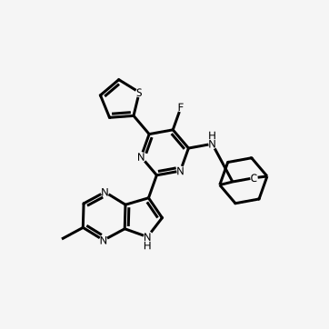 Cc1cnc2c(-c3nc(NC4CC5CCC4CC5)c(F)c(-c4cccs4)n3)c[nH]c2n1